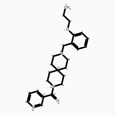 CCCOc1ccccc1CN1CCC2(CC1)CCN(C(=O)c1cccnc1)CC2